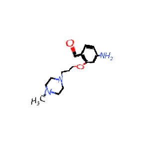 CN1CCN(CCCOc2cc(N)ccc2C=O)CC1